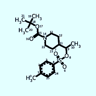 Cc1ccc(S(=O)(=O)OC(C)C2CCN(C(=O)OC(C)(C)C)CC2)cc1